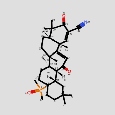 CC1(C)CC[C@]2(P(C)(C)=O)CC[C@]3(C)[C@H](C(=O)C=C4[C@@]5(C)C=C(C#N)C(=O)C(C)(C)[C@@H]5CC[C@]43C)[C@@H]2C1